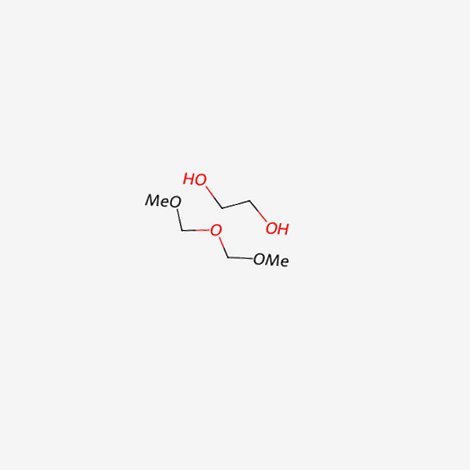 COCOCOC.OCCO